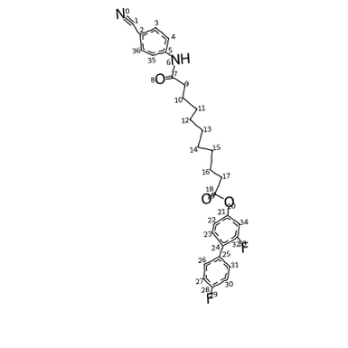 N#Cc1ccc(NC(=O)CCCCCCCCCC(=O)Oc2ccc(-c3ccc(F)cc3)c(F)c2)cc1